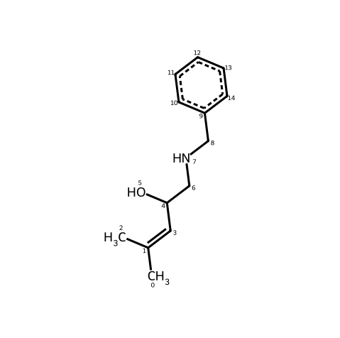 CC(C)=CC(O)CNCc1ccccc1